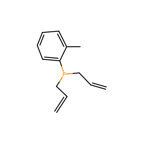 C=CCP(CC=C)c1ccccc1C